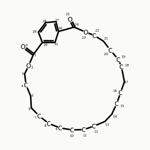 O=C1OCCCCCCCCCCCCCCCCCCCCOC(=O)c2cccc1c2